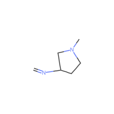 C=NC1CCN(C)C1